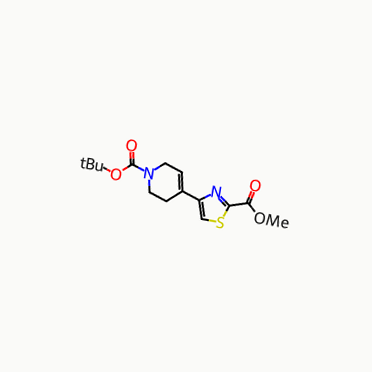 COC(=O)c1nc(C2=CCN(C(=O)OC(C)(C)C)CC2)cs1